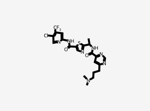 CC(NC(=O)c1cc(CCCN(C)C)ncn1)c1ncc(C(=O)Nc2cc(C(F)(F)F)c(Cl)cn2)s1